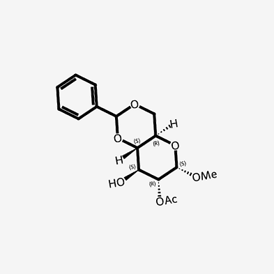 CO[C@H]1O[C@@H]2COC(c3ccccc3)O[C@H]2[C@H](O)[C@H]1OC(C)=O